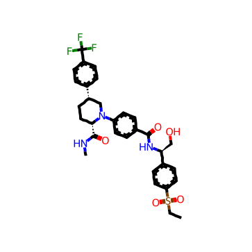 CCS(=O)(=O)c1ccc([C@H](CO)NC(=O)c2ccc(N3C[C@@H](c4ccc(C(F)(F)F)cc4)CC[C@H]3C(=O)NC)cc2)cc1